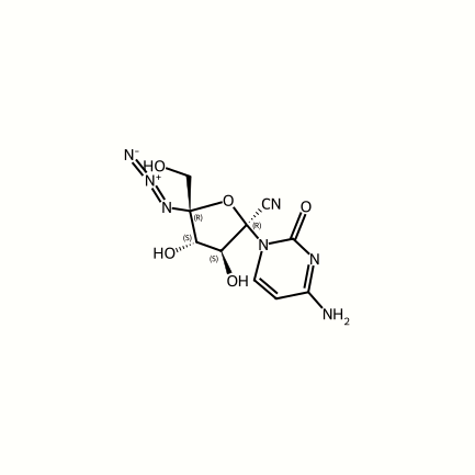 N#C[C@@]1(n2ccc(N)nc2=O)O[C@@](CO)(N=[N+]=[N-])[C@@H](O)[C@@H]1O